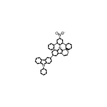 O=[N+]([O-])c1cc(-c2c#cccc2)c(-n2c3c(c4cc(-c5ccc6c(c5)c5ccccc5n6-c5ccccc5)ccc42)C=CCC3)c(-c2ccccc2)c1